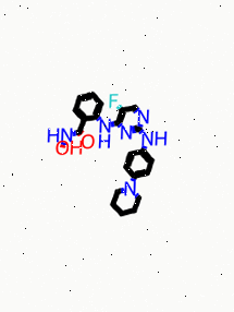 O=C(NO)c1ccccc1Nc1nc(Nc2ccc(N3CCCCC3)cc2)ncc1F